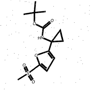 CC(C)(C)OC(=O)NC1(c2ccc(S(C)(=O)=O)o2)CC1